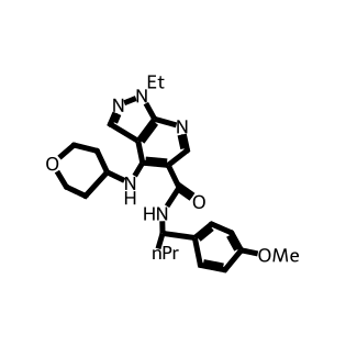 CCCC(NC(=O)c1cnc2c(cnn2CC)c1NC1CCOCC1)c1ccc(OC)cc1